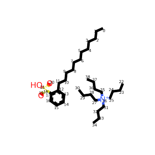 CCCCCCCCCCCCc1ccccc1S(=O)(=O)O.CCCC[N+](CCCC)(CCCC)CCCC